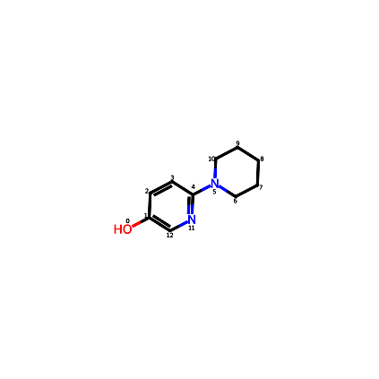 Oc1ccc(N2CCCCC2)nc1